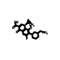 COc1c(N2CCCC(CN)C2)c(F)cc2c(=O)c(C(=O)O)cn(C3CC3)c12